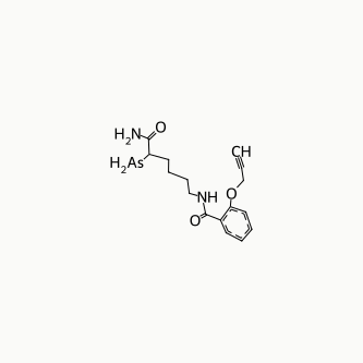 C#CCOc1ccccc1C(=O)NCCCCC([AsH2])C(N)=O